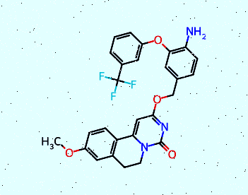 COc1ccc2c(c1)CCn1c-2cc(OCc2ccc(N)c(Oc3cccc(C(F)(F)F)c3)c2)nc1=O